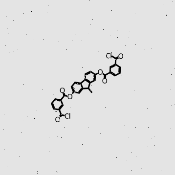 CC1c2cc(OC(=O)c3cccc(C(=O)Cl)c3)ccc2-c2ccc(OC(=O)c3cccc(C(=O)Cl)c3)cc21